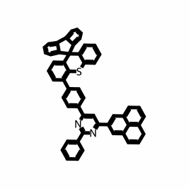 C1=Cc2cc(-c3cc(-c4ccc(-c5cccc6c5Sc5ccccc5C65c6ccccc6-c6ccccc65)cc4)nc(-c4ccccc4)n3)cc3cccc(c23)C1